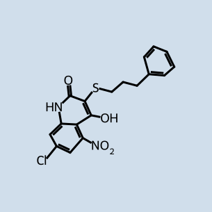 O=c1[nH]c2cc(Cl)cc([N+](=O)[O-])c2c(O)c1SCCCc1ccccc1